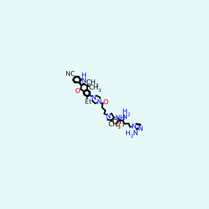 CCc1cc2c(cc1N1CCN(C(=O)CCCN3C[C@H](NC(=O)C(N)CCCn4ccnc4N)C(C)(C)C3)CC1)C(C)(C)c1[nH]c3cc(C#N)ccc3c1C2=O